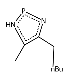 CCCCCc1np[nH]c1C